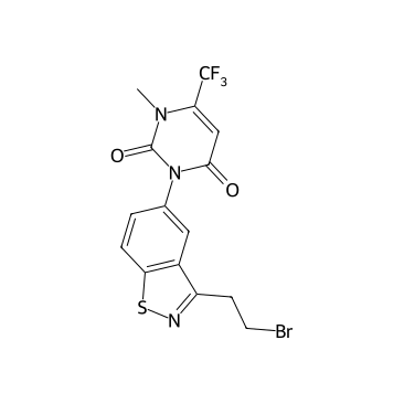 Cn1c(C(F)(F)F)cc(=O)n(-c2ccc3snc(CCBr)c3c2)c1=O